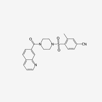 Cc1cc(C#N)ccc1S(=O)(=O)N1CCN(C(=O)c2ccc3cccnc3c2)CC1